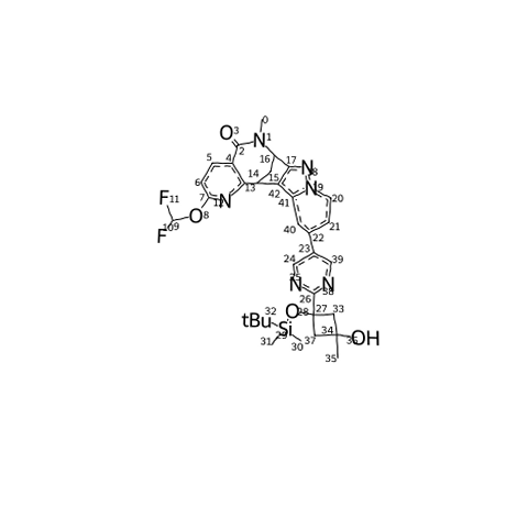 CN1C(=O)c2ccc(OC(F)F)nc2C2CC1c1nn3ccc(-c4cnc(C5(O[Si](C)(C)C(C)(C)C)CC(C)(O)C5)nc4)cc3c12